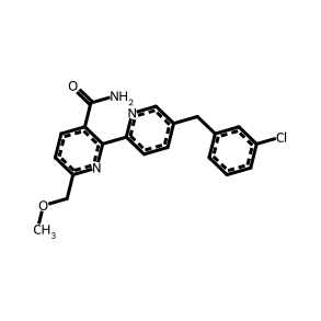 COCc1ccc(C(N)=O)c(-c2ccc(Cc3cccc(Cl)c3)cn2)n1